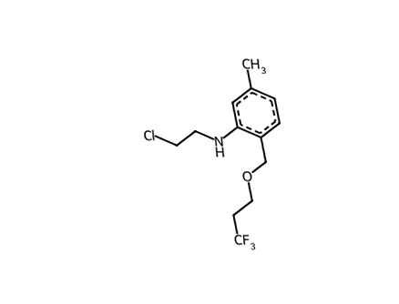 Cc1ccc(COCCC(F)(F)F)c(NCCCl)c1